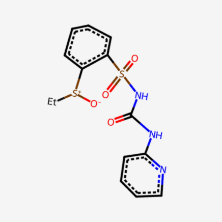 CC[S+]([O-])c1ccccc1S(=O)(=O)NC(=O)Nc1ccccn1